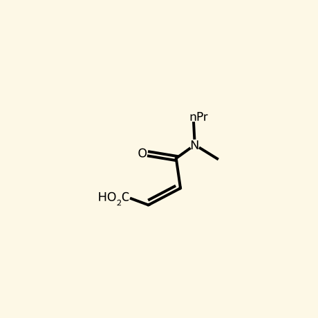 CCCN(C)C(=O)/C=C\C(=O)O